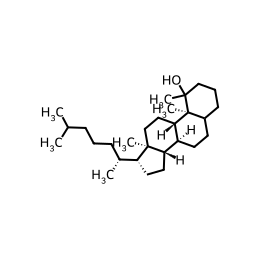 CC(C)CCC[C@@H](C)[C@H]1CC[C@H]2[C@@H]3CCC4CCCC(C)(O)[C@]4(C)[C@H]3CC[C@]12C